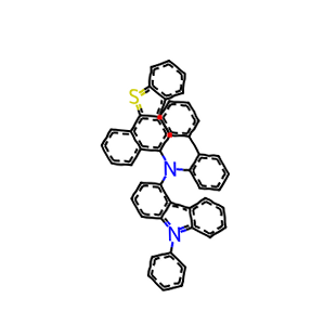 c1ccc(-c2ccccc2N(c2cc3c4ccccc4sc3c3ccccc23)c2cccc3c2c2ccccc2n3-c2ccccc2)cc1